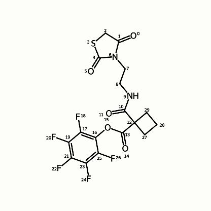 O=C1CSC(=O)N1CCNC(=O)C1(C(=O)Oc2c(F)c(F)c(F)c(F)c2F)CCC1